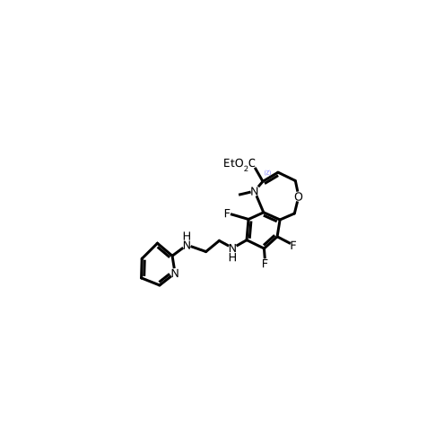 CCOC(=O)/C1=C/COCc2c(F)c(F)c(NCCNc3ccccn3)c(F)c2N1C